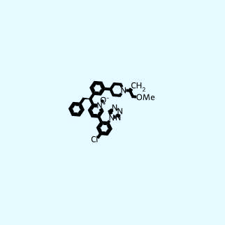 C=C(COC)N1CCC(c2cccc([C@H](Cc3ccccc3)c3ccc(-c4cc(Cl)ccc4-n4cnnn4)c[n+]3[O-])c2)CC1